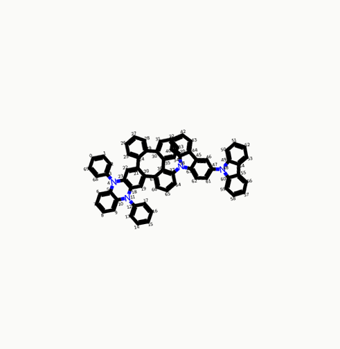 c1ccc(-n2c3ccccc3n(-c3ccccc3)c3cc4c(cc32)c2ccccc2c2ccccc2c2c(-n3c5ccccc5c5cc(-n6c7ccccc7c7ccccc76)ccc53)cccc42)cc1